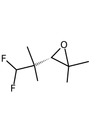 CC1(C)O[C@H]1C(C)(C)C(F)F